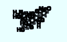 COc1cccc2c1C(=O)c1c(O)c3c(c(O)c1C2=O)CC(C(=O)[C@@H](O)CCO)C[C@@H]3O[C@H]1C[C@H](N)[C@H](O)[C@H](C)O1